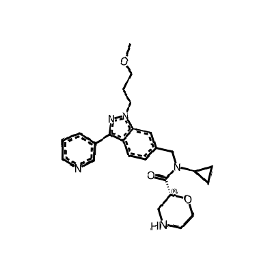 COCCCn1nc(-c2cccnc2)c2ccc(CN(C(=O)[C@H]3CNCCO3)C3CC3)cc21